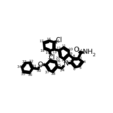 NC(=O)c1cccc2c1c1[c]cc(-c3c(Cl)cccc3Cl)cc1n2Cc1ccc(OCc2ccccc2)cc1